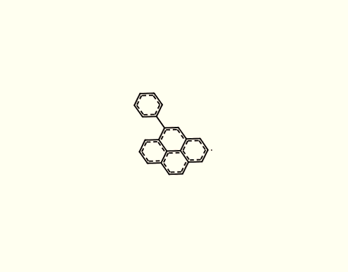 [c]1cc2ccc3cccc4c(-c5ccccc5)cc(c1)c2c34